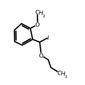 CCCOC(I)c1ccccc1OC